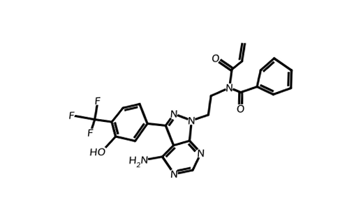 C=CC(=O)N(CCn1nc(-c2ccc(C(F)(F)F)c(O)c2)c2c(N)ncnc21)C(=O)c1ccccc1